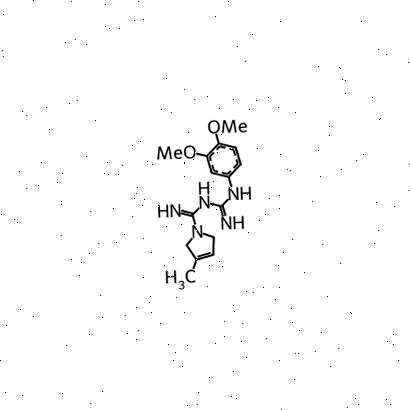 COc1ccc(NC(=N)NC(=N)N2CC=C(C)C2)cc1OC